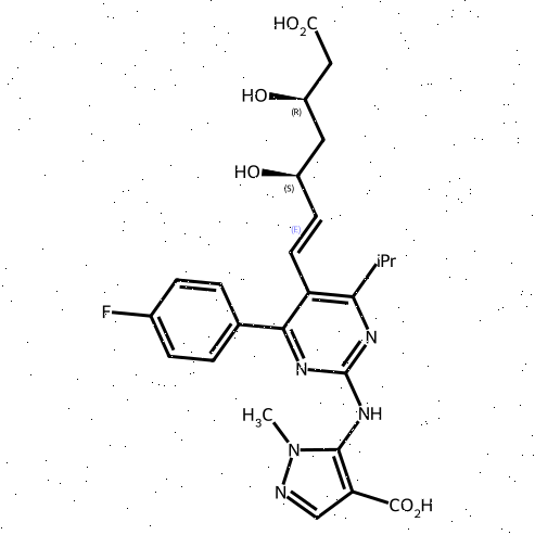 CC(C)c1nc(Nc2c(C(=O)O)cnn2C)nc(-c2ccc(F)cc2)c1/C=C/[C@@H](O)C[C@@H](O)CC(=O)O